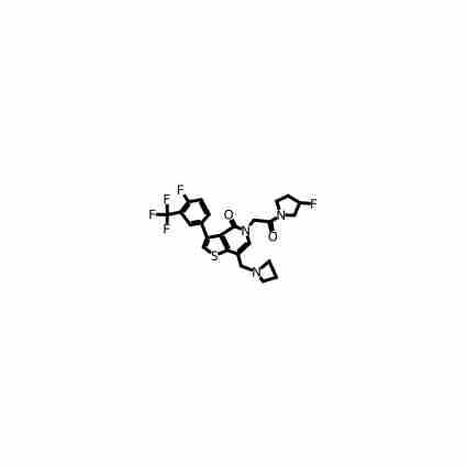 O=C(Cn1cc(CN2CCC2)c2scc(-c3ccc(F)c(C(F)(F)F)c3)c2c1=O)N1CCC(F)C1